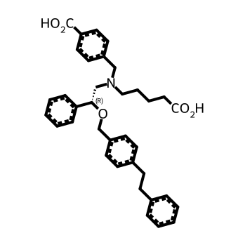 O=C(O)CCCCN(Cc1ccc(C(=O)O)cc1)C[C@H](OCc1ccc(CCc2ccccc2)cc1)c1ccccc1